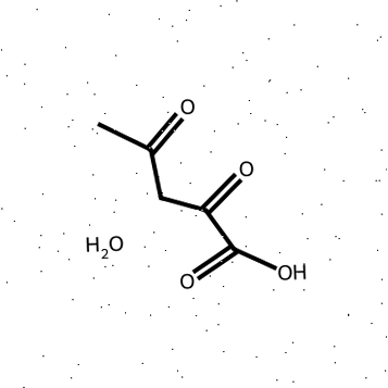 CC(=O)CC(=O)C(=O)O.O